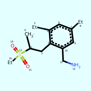 [CH2]C(Cc1c(CC)cc(CC)cc1CN)S(=O)(=O)CC